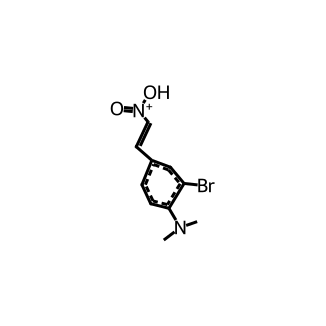 CN(C)c1ccc(/C=C/[N+](=O)O)cc1Br